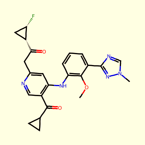 COc1c(Nc2cc(CC(=O)[C@@H]3C[C@@H]3F)ncc2C(=O)C2CC2)cccc1-c1ncn(C)n1